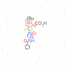 CC(C)(C)OC(=O)O[C@H]1[C@H](F)[C@H](n2ccc(NC(=O)c3ccccc3)nc2=O)S[C@@H]1COC(=O)O